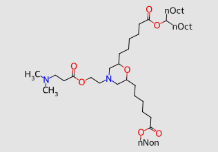 CCCCCCCCCOC(=O)CCCCCC1CN(CCOC(=O)CCN(C)C)CC(CCCCCC(=O)OC(CCCCCCCC)CCCCCCCC)O1